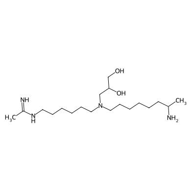 CC(=N)NCCCCCCN(CCCCCCC(C)N)CC(O)CO